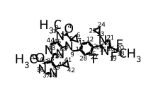 CCN1C(=O)C2(CC2)N(Cc2ccc(-c3nc(C(C)(F)F)cn3C3CC3)c(F)c2)c2nc(-c3c(OC)ncnc3C3CC3)ncc21